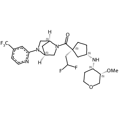 CO[C@@H]1COCC[C@@H]1N[C@H]1CC[C@](CC(F)F)(C(=O)N2C[C@@H]3C[C@H]2CN3c2cc(C(F)(F)F)ccn2)C1